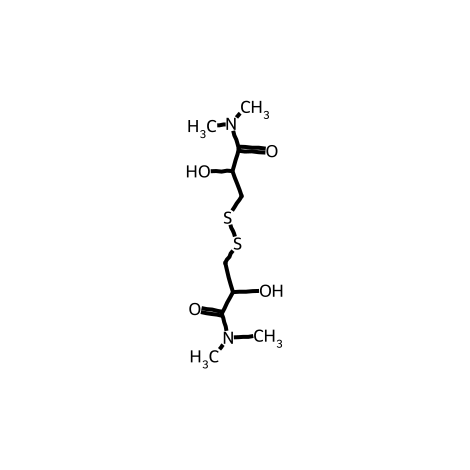 CN(C)C(=O)C(O)CSSCC(O)C(=O)N(C)C